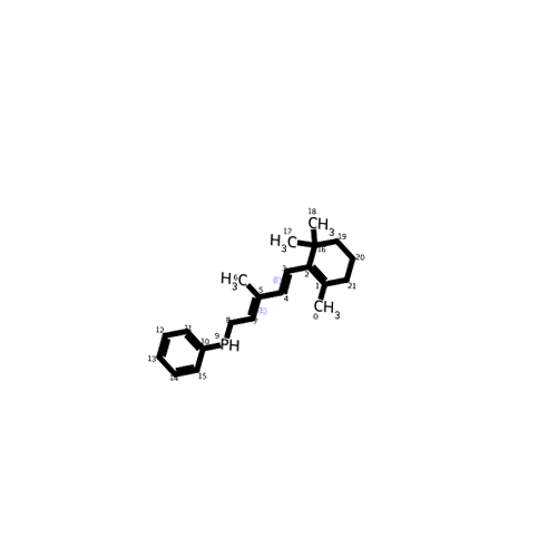 CC1=C(/C=C/C(C)=C/CPc2ccccc2)C(C)(C)CCC1